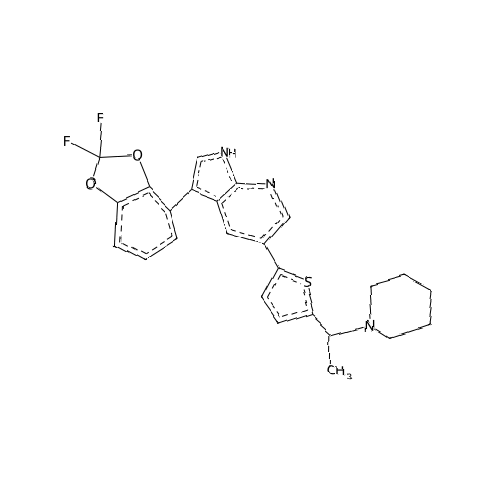 CC(c1ccc(-c2cnc3[nH]cc(-c4cccc5c4OC(F)(F)O5)c3c2)s1)N1CCCCC1